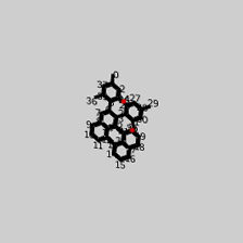 Cc1cc(C)c(-c2cc3cccc4c5cccc6cccc(c(c2-c2c(C)cc(C)cc2C)c34)c65)c(C)c1